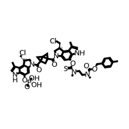 Cc1ccc(COC(=O)N(C)CCN(C)C(=S)Oc2cc3c(c4c(C)c[nH]c24)[C@H](CCl)CN3C(=O)C23CC4(C(=O)N5C[C@@H](CCl)c6c5cc(OP(=O)(O)O)c5[nH]cc(C)c65)CC24C3)cc1